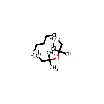 CCC(C)(C)OC(C)(C)CC.CCCCC